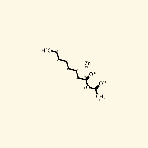 CCCCCCCC(=O)OC(C)=O.[Zn]